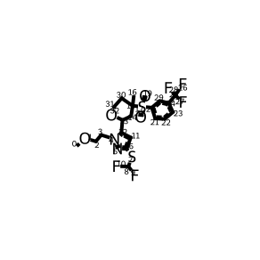 COCCn1nc(SC(F)F)cc1C1CC(C)(S(=O)(=O)c2cccc(C(F)(F)F)c2)CCO1